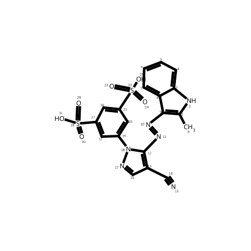 Cc1[nH]c2ccccc2c1/N=N/c1c(C#N)cnn1-c1cc(S(=O)(=O)O)cc(S(=O)(=O)O)c1